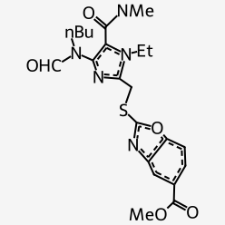 CCCCN(C=O)c1nc(CSc2nc3cc(C(=O)OC)ccc3o2)n(CC)c1C(=O)NC